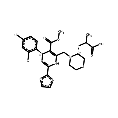 COC(=O)C1=C(CN2CCSC[C@H]2CC(C)C(=O)O)NC(c2nccs2)=N[C@H]1c1ccc(Cl)cc1Cl